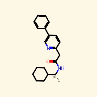 C[C@@H](NC(=O)Cc1ccc(-c2ccccc2)cn1)C1CCCCC1